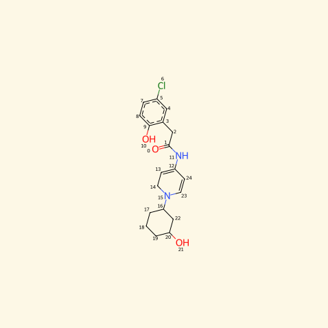 O=C(Cc1cc(Cl)ccc1O)NC1=CCN(C2CCCC(O)C2)C=C1